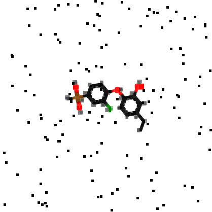 CCc1ccc(Oc2ccc(S(C)(=O)=O)cc2F)c(O)c1